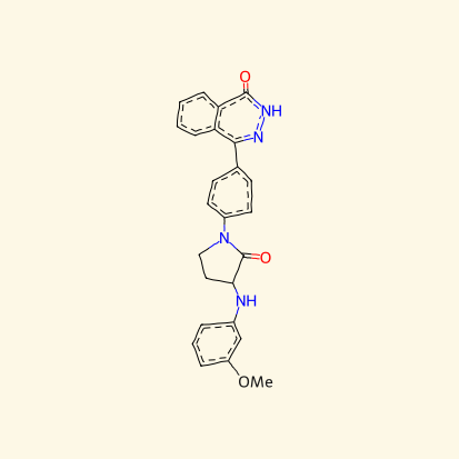 COc1cccc(NC2CCN(c3ccc(-c4n[nH]c(=O)c5ccccc45)cc3)C2=O)c1